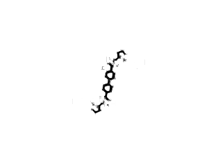 O=C(O)N1CCCC1c1nc(-c2ccc(-c3ccc(-c4c[nH]c(C5CCCN5C(=O)O)n4)c(F)c3)cc2)c[nH]1